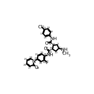 CNC1C[C@H](C(=O)Nc2ccc(Cl)cc2)[C@H](C(=O)Nc2ccc(-n3ccccc3=O)cc2F)C1